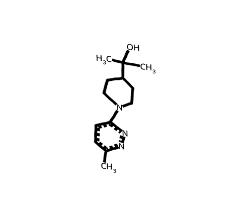 Cc1ccc(N2CCC(C(C)(C)O)CC2)nn1